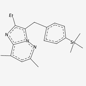 CCc1nc2c(C)cc(C)nn2c1Cc1cc[c]([Sn]([CH3])([CH3])[CH3])cc1